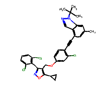 Cc1cc(C#Cc2ccc(OCc3c(-c4c(Cl)cccc4Cl)noc3C3CC3)cc2Cl)c2cnn(C(C)(C)C)c2c1